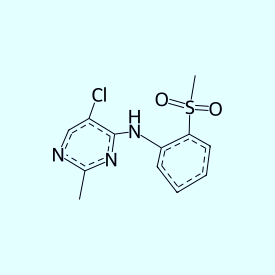 Cc1ncc(Cl)c(Nc2ccccc2S(C)(=O)=O)n1